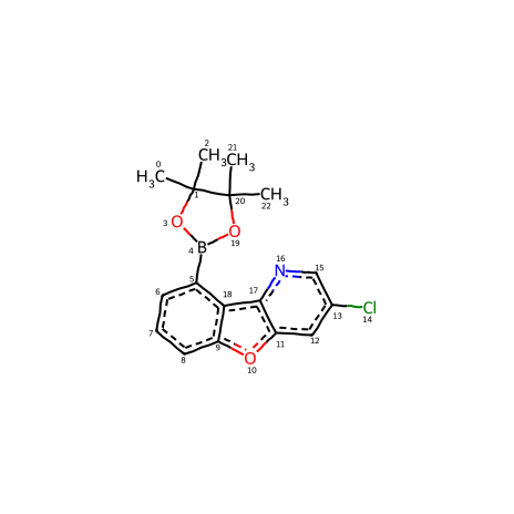 CC1(C)OB(c2cccc3oc4cc(Cl)cnc4c23)OC1(C)C